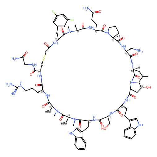 CCCC[C@H]1C(=O)N(C)[C@@H](CCCC)C(=O)N[C@@H](CCCNC(=N)N)C(=O)N[C@H](C(=O)NCC(N)=O)CSCC(=O)N[C@@H](Cc2cc(F)cc(F)c2)C(=O)N(C)[C@@H](C)C(=O)N[C@@H](CCC(N)=O)C(=O)N2CCC[C@H]2C(=O)N[C@@H](CN)C(=O)N[C@H]2CC(C)C3[C@H](O)CC(C(=O)N[C@@H](CCc4c[nH]c5ccccc45)C(=O)N[C@@H](CO)C(=O)N[C@@H](Cc4c[nH]c5ccccc45)C(=O)N1C)N3C2=O